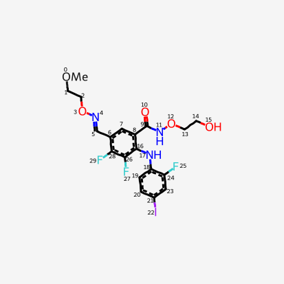 COCCON=Cc1cc(C(=O)NOCCO)c(Nc2ccc(I)cc2F)c(F)c1F